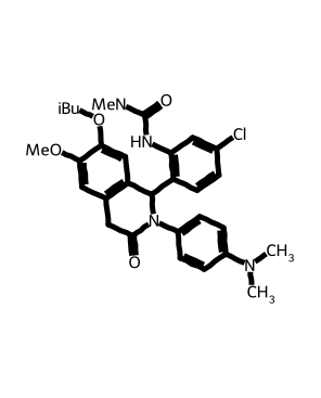 CCC(C)Oc1cc2c(cc1OC)CC(=O)N(c1ccc(N(C)C)cc1)C2c1ccc(Cl)cc1NC(=O)NC